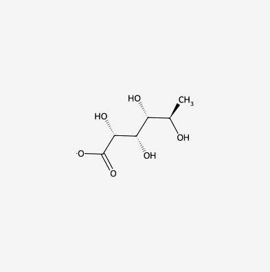 C[C@@H](O)[C@@H](O)[C@H](O)[C@@H](O)C([O])=O